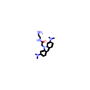 CN(C)c1ccc2cc3ccc(N(C)C)cc3[n+](CC(=O)NCCN)c2c1